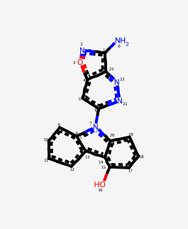 Nc1noc2cc(-n3c4ccccc4c4c(O)cccc43)nnc12